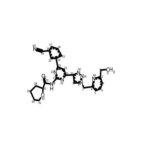 CCc1cccc(Cn2cc(-c3cc(-c4cccc(C#N)c4)nc(NC(=O)C4CCCCO4)n3)nn2)n1